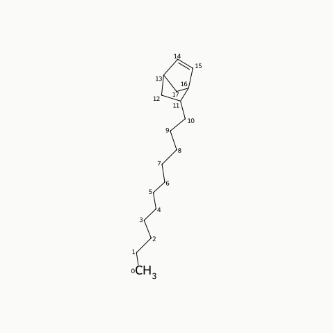 CCCCCCCCCCCC1CC2C=CC1C2